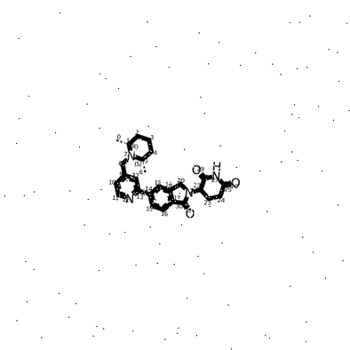 C[C@@H]1CCC[C@H](C)N1Cc1ccnc(-c2ccc3c(c2)CN(C2CCC(=O)NC2=O)C3=O)c1